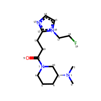 CN(C)[C@@H]1CCCN(C(=O)CCc2nccn2CCF)C1